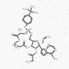 C=NC[C@@]1(c2ccc3c(N)ncnn23)OC(COP(=O)(N[C@@H](C)C(=O)OCC)Oc2ccc(C(C)(C)C)cc2)[C@@H](OC(=O)CC)[C@H]1OC(=O)CC